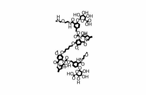 C=C1C[C@H]2C(O)N(C(=O)OCc3ccc(O[C@@H]4O[C@H](C(=O)O)[C@@H](O)[C@H](O)[C@H]4O)c(C(=O)NCCOC)c3)c3cc(OCCCCCOc4cc5c(cc4OC)C(=O)N4CC(=C)C[C@H]4C(O)N5C(=O)OCc4ccc(O[C@@H]5O[C@H](C(=O)O)[C@@H](O)[C@H](O)[C@H]5O)c(C(=O)NCCOCNC)c4)c(OC)cc3C(=O)N2C1